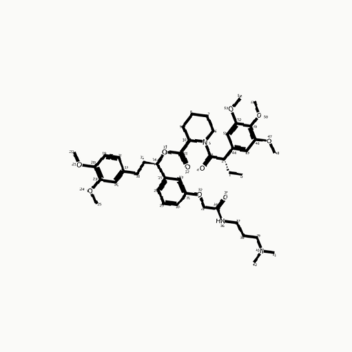 CC[C@H](C(=O)N1CCCCC1C(=O)O[C@H](CCc1ccc(OC)c(OC)c1)c1cccc(OCC(=O)NCCCN(C)C)c1)c1cc(OC)c(OC)c(OC)c1